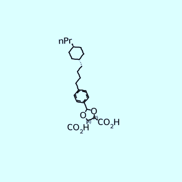 CCC[C@H]1CC[C@H](CCCCc2ccc(C3O[C@@H](C(=O)O)[C@H](C(=O)O)O3)cc2)CC1